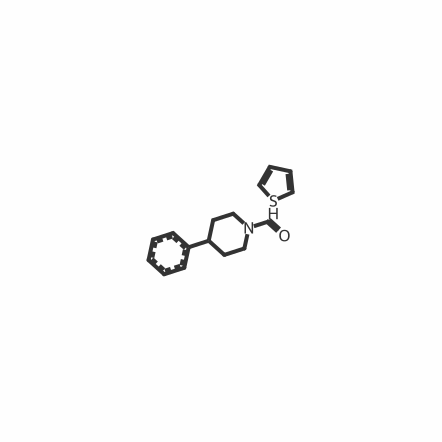 O=C(N1CCC(c2ccccc2)CC1)[SH]1C=CC=C1